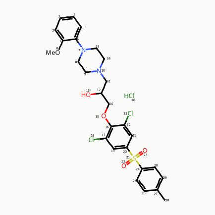 COc1ccccc1N1CCN(CC(O)COc2c(Cl)cc(S(=O)(=O)c3ccc(C)cc3)cc2Cl)CC1.Cl